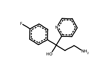 NCCC(O)(c1ccc(F)cc1)c1ccccn1